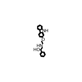 O[C@H](CNCCOc1ccc2c(c1)[nH]c1ccccc12)c1ccccc1